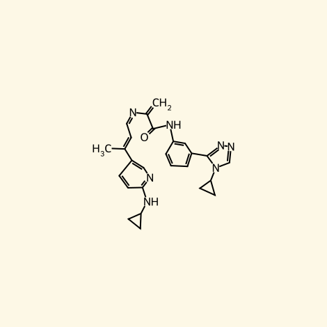 C=C(/N=C\C=C(/C)c1ccc(NC2CC2)nc1)C(=O)Nc1cccc(-c2nncn2C2CC2)c1